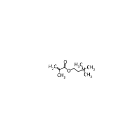 C=C(C)C(=O)OCC[N+](C)(C)C